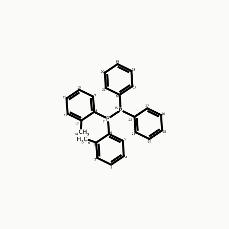 Cc1ccccc1P(c1ccccc1C)P(c1ccccc1)c1ccccc1